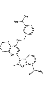 Cn1cc2c(C(N)=O)cccc2c1-c1nc2c(c(NCc3cccc(B(O)O)c3)n1)OCCC2